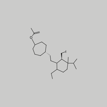 C=C(C)OC1CCC[C@@H](CCC2C(CC)CCC(C)(C(C)C)[C@@H]2CI)CC1